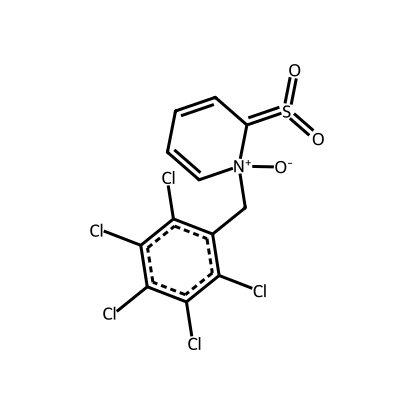 O=S(=O)=C1C=CC=C[N+]1([O-])Cc1c(Cl)c(Cl)c(Cl)c(Cl)c1Cl